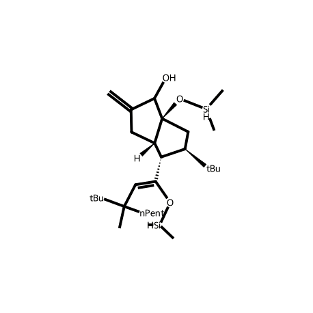 C=C1C[C@H]2[C@@H](C(=CC(C)(CCCCC)C(C)(C)C)O[SiH](C)C)[C@H](C(C)(C)C)C[C@@]2(O[SiH](C)C)C1O